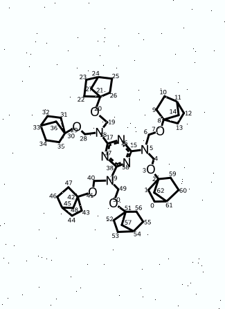 C1CC2(OCN(COC34CCC(CC3)C4)c3nc(N(COC45CCC(CC4)C5)COC45CCC(CC4)C5)nc(N(COC45CCC(CC4)C5)COC45CCC(CC4)C5)n3)CCC1C2